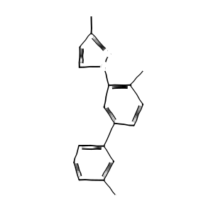 Cc1ccn(-c2cc(-c3cccc(F)c3)ccc2C)n1